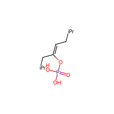 CC(C)CC=C(CC(C)C)OP(=O)(O)O